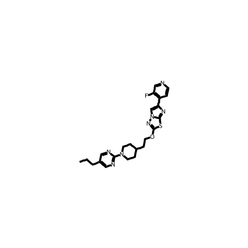 CCCc1cnc(N2CCC(CCOc3nn4cc(-c5ccncc5F)nc4s3)CC2)nc1